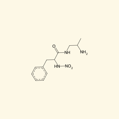 CC(N)CNC(=O)C(Cc1ccccc1)N[N+](=O)[O-]